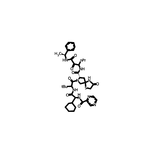 CCCC(NC(=O)[C@@H]1CC2(CN1C(=O)C(NC(=O)C(NC(=O)c1cnccn1)C1CCCCC1)C(C)(C)C)NC(=O)CS2)C(=O)C(=O)N[C@@H](C)c1ccccc1